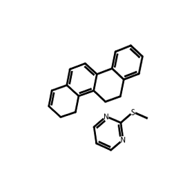 C1=Cc2ccc3c(c2CC1)CCc1ccccc1-3.CSc1ncccn1